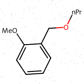 [CH2]CCOCc1ccccc1OC